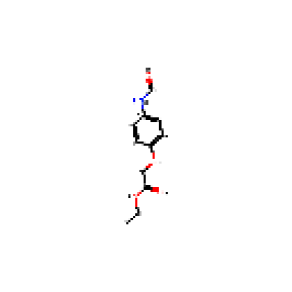 CCOC(=O)COc1ccc(NC=O)cc1